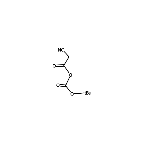 CC(C)(C)OC(=O)OC(=O)CC#N